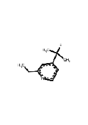 CCc1cc(C(C)(C)F)ccn1